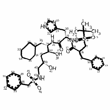 CC(C)(C)S(=O)(=O)CC(Cc1ccccc1)C(=O)N[C@@H](Cc1c[nH]cn1)C(=O)N[C@@H](CC1CCCCC1)[C@@H](O)C[C@H](O)CNS(=O)(=O)Cc1ccccc1